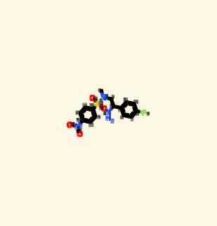 CN(C[C@H](N)c1ccc(F)cc1)S(=O)(=O)c1ccc([N+](=O)[O-])cc1